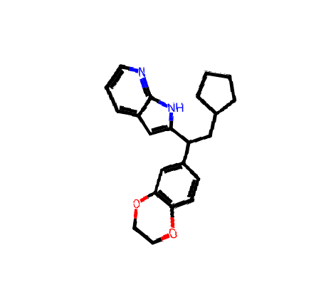 c1cnc2[nH]c(C(CC3CCCC3)c3ccc4c(c3)OCCO4)cc2c1